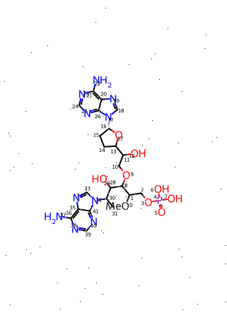 COC(COP(=O)(O)O)C(OCC(O)C1CC[C@H](n2cnc3c(N)ncnc32)O1)C(O)C(C)n1cnc2c(N)ncnc21